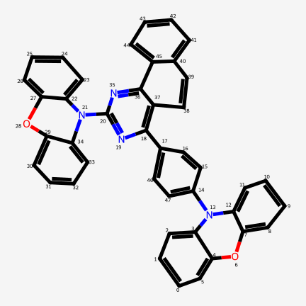 c1ccc2c(c1)Oc1ccccc1N2c1ccc(-c2nc(N3c4ccccc4Oc4ccccc43)nc3c2ccc2ccccc23)cc1